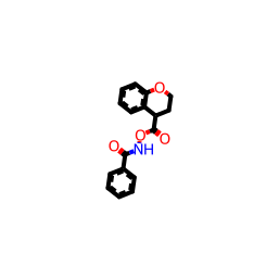 O=C(NOC(=O)C1CCOc2ccccc21)c1ccccc1